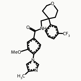 COc1cc(C(=O)NCC2(c3cccc(C(F)(F)F)c3)CCOCC2)ccc1-n1cnc(C)c1